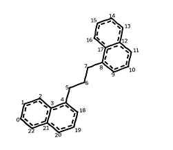 c1ccc2c(CCCc3cccc4ccccc34)cccc2c1